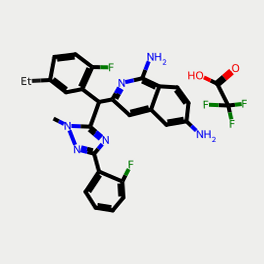 CCc1ccc(F)c(C(c2cc3cc(N)ccc3c(N)n2)c2nc(-c3ccccc3F)nn2C)c1.O=C(O)C(F)(F)F